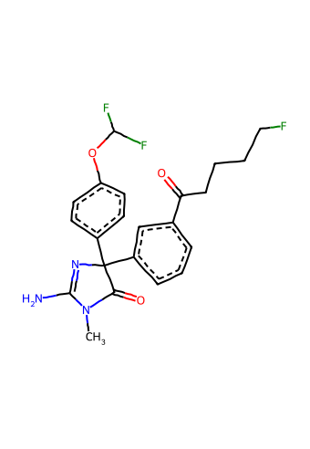 CN1C(=O)C(c2ccc(OC(F)F)cc2)(c2cccc(C(=O)CCCCF)c2)N=C1N